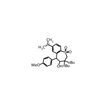 CCCCC1(CCCC)CS(=O)(=O)c2ccc(N(C)C)cc2C(c2ccc(OC)cc2)C1O